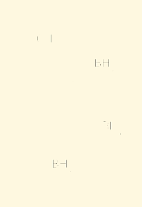 Bc1ccc(C)c(B)c1B